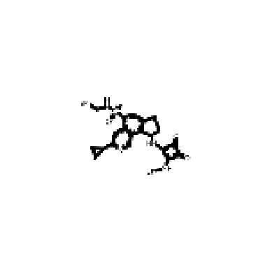 CCNc1c(N[C@@H]2CCc3cc(S(=O)(=O)NCC(C)C)c4cc(C5CC5)ncc4c32)c(=O)c1=O